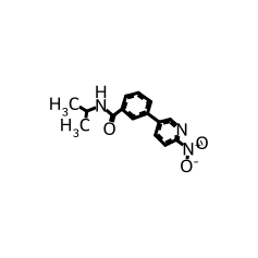 CC(C)NC(=O)c1cccc(-c2ccc([N+](=O)[O-])nc2)c1